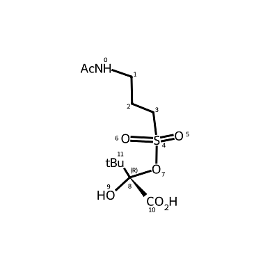 CC(=O)NCCCS(=O)(=O)O[C@@](O)(C(=O)O)C(C)(C)C